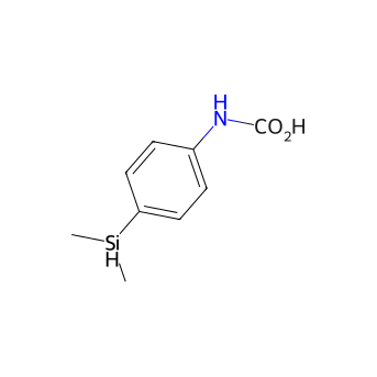 C[SiH](C)c1ccc(NC(=O)O)cc1